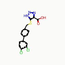 O=C(O)c1nn[nH]c1SCc1ccc(-c2ccc(Cl)c(Cl)c2)cc1